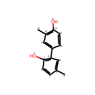 Cc1ccc(O)c(-c2ccc(O)c(C)c2)c1